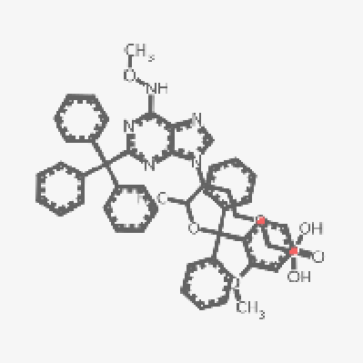 CONc1nc(C(c2ccccc2)(c2ccccc2)c2ccccc2)nc2c1ncn2C(CCOCP(=O)(O)O)C(C)OC(c1ccccc1)(c1ccccc1)c1ccccc1OC